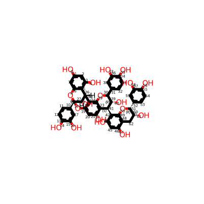 Oc1cc(O)c2c(c1)O[C@@]1(c3ccc(O)c(O)c3)Oc3cc(O)c4c(c3[C@@H]2[C@H]1O)OC(c1ccc(O)c(O)c1)[C@H](O)[C@H]4c1c(O)cc(O)c2c1O[C@H](c1ccc(O)c(O)c1)[C@H](O)C2